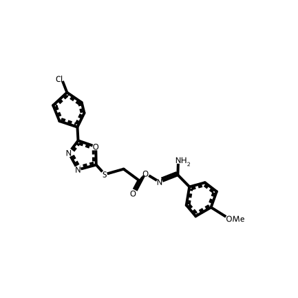 COc1ccc(C(N)=NOC(=O)CSc2nnc(-c3ccc(Cl)cc3)o2)cc1